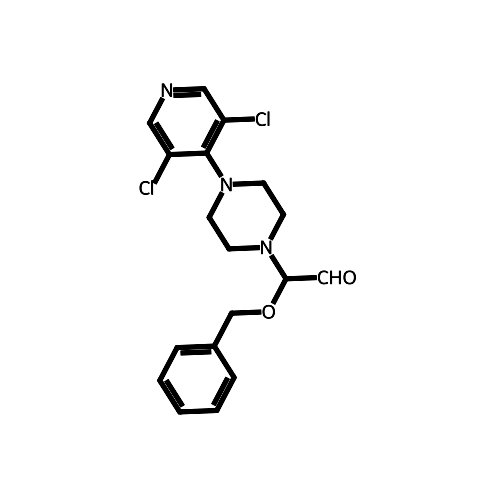 O=CC(OCc1ccccc1)N1CCN(c2c(Cl)cncc2Cl)CC1